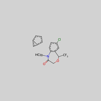 C#CN1C(=O)COC(C(F)(F)F)c2cc(Cl)ccc21.c1cc2cc-2c1